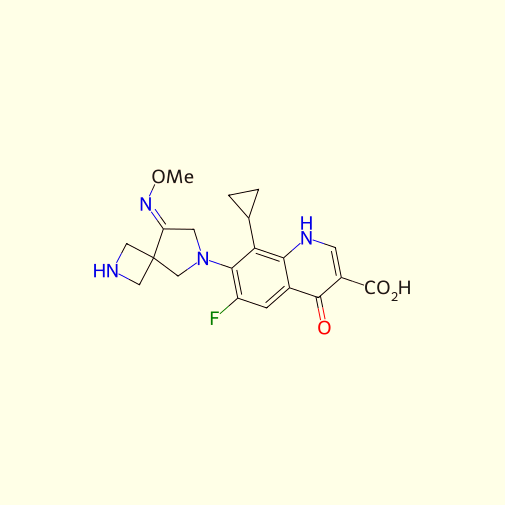 CON=C1CN(c2c(F)cc3c(=O)c(C(=O)O)c[nH]c3c2C2CC2)CC12CNC2